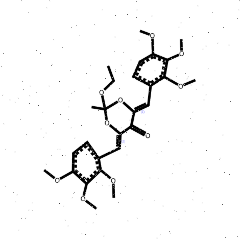 CCOC1(C)O/C(=C\c2ccc(OC)c(OC)c2OC)C(=O)/C(=C/c2ccc(OC)c(OC)c2OC)O1